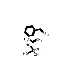 C=CC.C=Cc1ccccc1.O[Si](O)(O)O